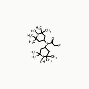 CC1(C)CC(N(C(=O)CBr)C2CC(C)(C)N(O)C(C)(C)C2)CC(C)(C)N1O